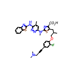 Cc1cc(N(C)c2nc(C(=O)O)c(CC(C)COc3ccc(C#CCN(C)C)cc3F)s2)nnc1Nc1nc2ccccc2s1